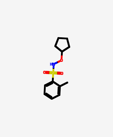 Cc1ccccc1S(=O)(=O)NOC1CCCC1